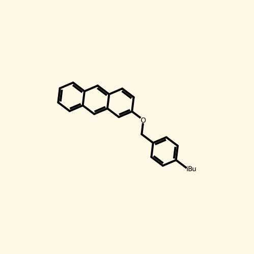 CCC(C)c1ccc(COc2ccc3cc4ccccc4cc3c2)cc1